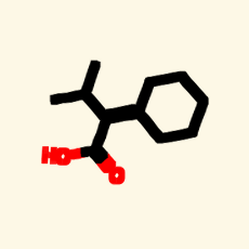 CC(C)C(C(=O)O)=C1CCCCC1